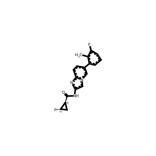 Cc1c(F)cccc1-c1ccc2nc(NC(=O)[C@H]3C[C@@H]3F)cn2c1